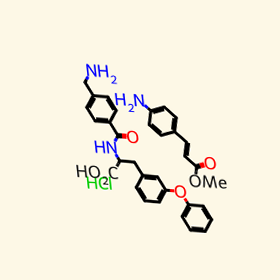 COC(=O)C=Cc1ccc(N)cc1.Cl.NCc1ccc(C(=O)NC(Cc2cccc(Oc3ccccc3)c2)C(=O)O)cc1